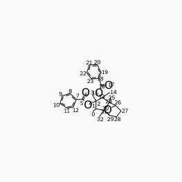 CC1C(C)(OC(=O)c2ccccc2)C(C)(OC(=O)c2ccccc2)C2(C)C3CCC(O3)C12C